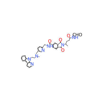 CC(CCC(=O)NC=O)N1C(=O)c2ccc(C(=O)NCc3ccc(CN(C)CCn4c5ccccc5c5cccnc54)cn3)cc2C1=O